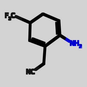 N#CCC1=CC(C(F)(F)F)CC=C1N